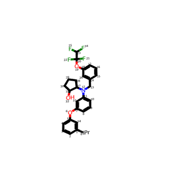 CC(C)c1cccc(Oc2cccc(N(Cc3cccc(OC(F)(F)C(F)F)c3)C3CCCC3O)c2)c1